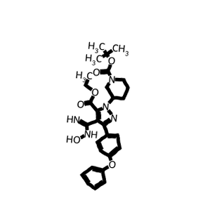 CCOC(=O)c1c(C(=N)NO)c(-c2ccc(Oc3ccccc3)cc2)nn1C1CCCN(C(=O)OC(C)(C)C)C1